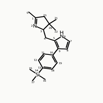 CC1=NC(Cc2[nH]ccc2-c2ccc([Si](C)(C)C)cc2)C(C)(C)C1